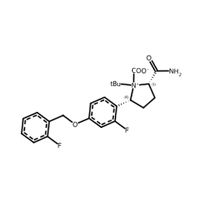 CC(C)(C)[N+]1(C(=O)[O-])[C@@H](c2ccc(OCc3ccccc3F)cc2F)CC[C@H]1C(N)=O